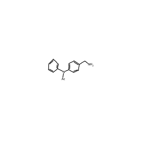 CC(=O)N(c1ccccc1)c1ccc(CN)cc1